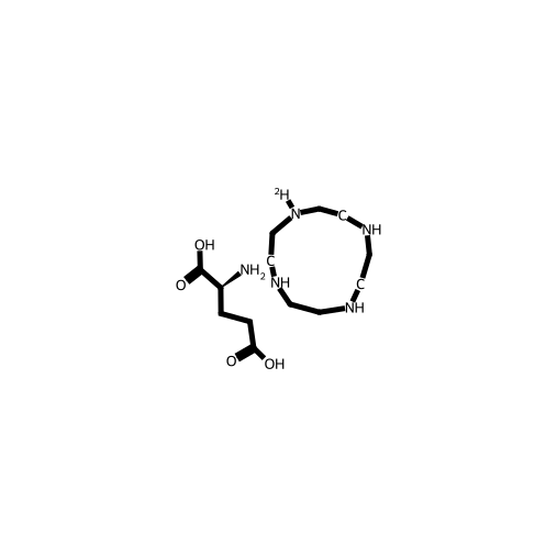 N[C@@H](CCC(=O)O)C(=O)O.[2H]N1CCNCCNCCNCC1